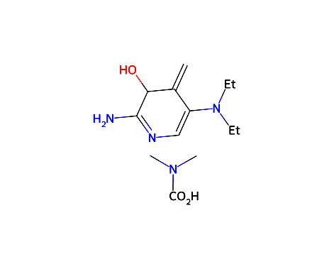 C=C1C(N(CC)CC)=CN=C(N)C1O.CN(C)C(=O)O